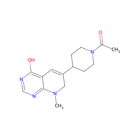 CC(=O)N1CCC(C2=Cc3c(O)ncnc3N(C)C2)CC1